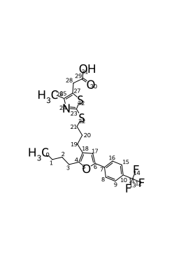 CCCCc1oc(-c2ccc(C(F)(F)F)cc2)cc1CCCSc1nc(C)c(CC(=O)O)s1